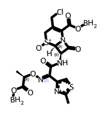 BOC(=O)C1=C(CCl)C[S+]([O-])[C@@H]2[C@H](NC(=O)/C(=N\O[C@H](C)C(=O)OB)c3csc(C)n3)C(=O)N12